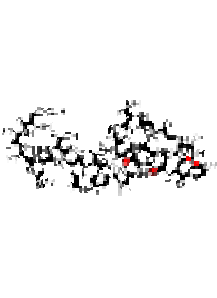 CSCC[C@H](NC(=O)[C@@H](NC(=O)[C@@H](NC(=O)[C@@H](N)CC(=O)O)C(C)C)C(C)C)C(=O)N[C@H](C(=O)N[C@@H](CCC(N)=O)C(=O)N[C@H](C(=O)N1CCC[C@H]1C(=O)N[C@@H](C)C(=O)N[C@@H](CO)C(=O)N[C@H](C(=O)N[C@@H](CO)C(=O)N[C@@H](CCC(=O)O)C(=O)N1CCC[C@H]1C(=O)N[C@H](C(=O)NCC(=O)NCC(=O)N[C@H](C(=O)N[C@@H](C)C(=O)N[C@H](C(=O)O)[C@@H](C)O)[C@@H](C)O)C(C)C)C(C)C)[C@@H](C)O)[C@@H](C)O